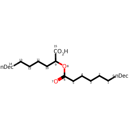 CCCCCCCCCCCCCCCC(=O)OC(CCCCCCCCCCCCCC)C(=O)O